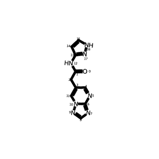 O=C(Cc1cnc2ncnn2c1)Nc1cc[nH]n1